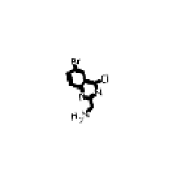 NCc1nc(Cl)c2cc(Br)ccc2n1